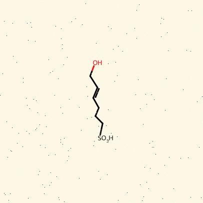 O=S(=O)(O)CCC/C=C/CO